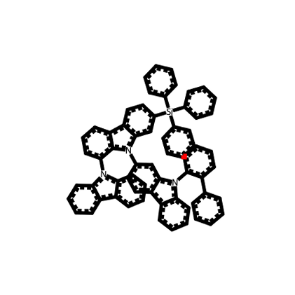 c1ccc(-c2ccccc2-n2c3ccccc3c3ccc(-n4c5cc([Si](c6ccccc6)(c6ccccc6)c6ccccc6)ccc5c5cccc(-n6c7ccccc7c7ccccc76)c54)cc32)cc1